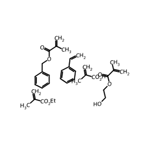 C=C(C)C(=O)O.C=C(C)C(=O)OCC.C=C(C)C(=O)OCCO.C=C(C)C(=O)OCc1ccccc1.C=Cc1ccccc1